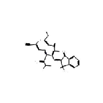 C=C(/C=C\CC)/C(C)=C(/C=C1\C(=C)c2ccccc2C1(C)C)C(=C\C=C(/C)C#N)\C(=C)C(C)C